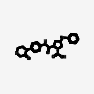 O=C(Nc1ccc(N2CCOCC2=O)cc1)C1C[C@@H]([Se]c2ccccc2)CN1C(=O)O